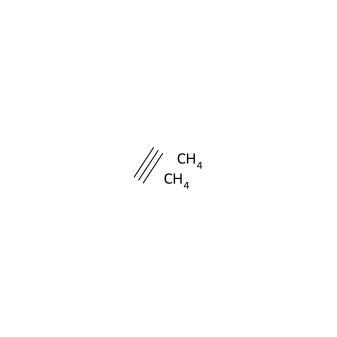 C.C.C#C